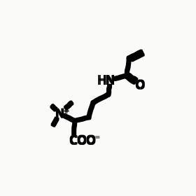 C=CC(=O)NCCCC(C(=O)[O-])[N+](C)(C)C